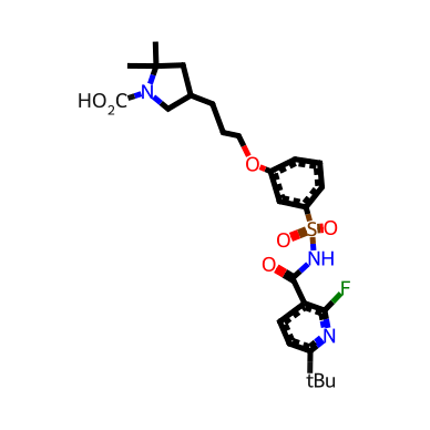 CC(C)(C)c1ccc(C(=O)NS(=O)(=O)c2cccc(OCCCC3CN(C(=O)O)C(C)(C)C3)c2)c(F)n1